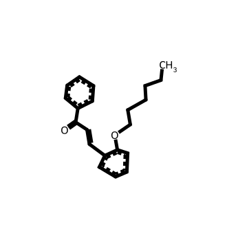 CCCCCCOc1ccccc1C=CC(=O)c1ccccc1